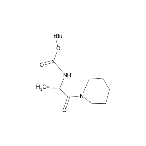 C[C@H](NC(=O)OC(C)(C)C)C(=O)N1CCCCC1